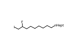 CCCCCCCCCCCCCCC(F)CI